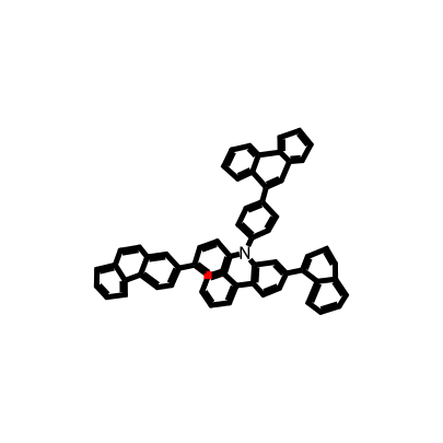 c1ccc(-c2ccc(-c3cccc4ccccc34)cc2N(c2ccc(-c3ccc4c(ccc5ccccc54)c3)cc2)c2ccc(-c3cc4ccccc4c4ccccc34)cc2)cc1